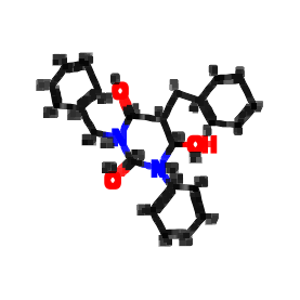 O=C1C(Cc2ccccc2)C(O)N(c2ccccc2)C(=O)N1Cc1ccccc1